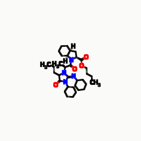 CCCCOC(=O)[C@@H]1C[C@@H]2CCCC[C@@H]2N1C(=O)[C@H](C)N1/C(=N/C2CCCCC2)N(C2CCCCC2)C(=O)C1CCC